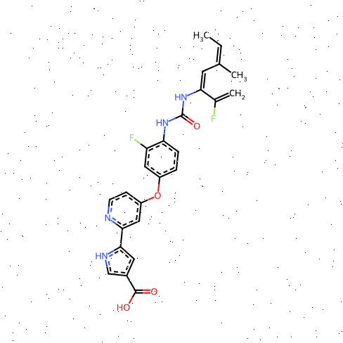 C=C(F)/C(=C\C(C)=C/C)NC(=O)Nc1ccc(Oc2ccnc(-c3cc(C(=O)O)c[nH]3)c2)cc1F